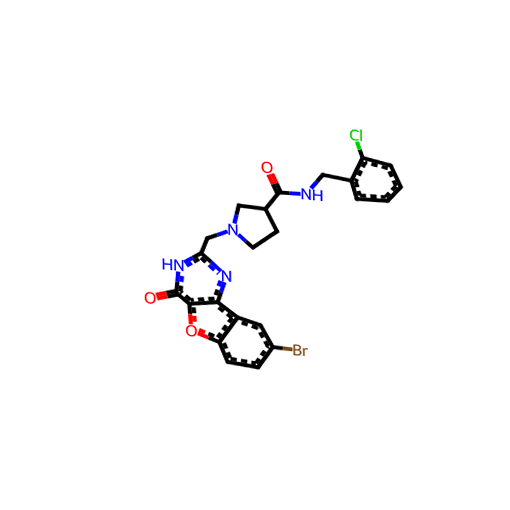 O=C(NCc1ccccc1Cl)C1CCN(Cc2nc3c(oc4ccc(Br)cc43)c(=O)[nH]2)C1